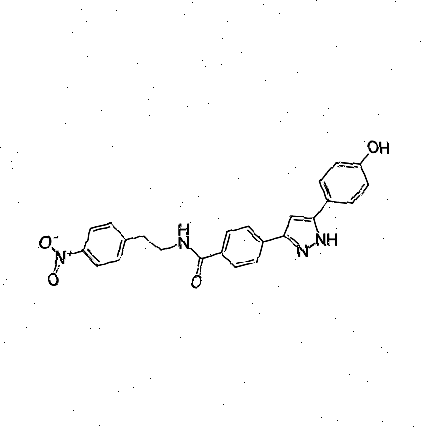 O=C(NCCc1ccc([N+](=O)[O-])cc1)c1ccc(-c2cc(-c3ccc(O)cc3)[nH]n2)cc1